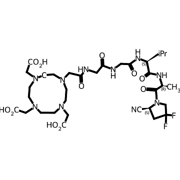 CC(C)[C@H](NC(=O)CNC(=O)CNC(=O)CN1CCN(CC(=O)O)CCN(CC(=O)O)CCN(CC(=O)O)CC1)C(=O)N[C@H](C)C(=O)N1CC(F)(F)C[C@H]1C#N